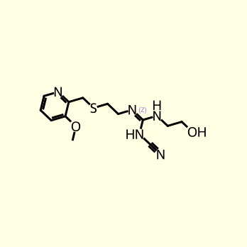 COc1cccnc1CSCC/N=C(\NC#N)NCCO